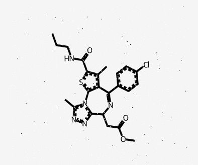 CCCNC(=O)c1sc2c(c1C)C(c1ccc(Cl)cc1)=NC(CC(=O)OC)c1nnc(C)n1-2